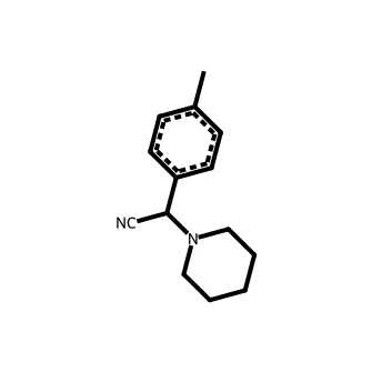 Cc1ccc(C(C#N)N2CCCCC2)cc1